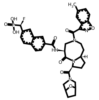 Cc1ccc2onc(C(=O)N3CC[C@H]4CC[C@@H](C(=O)N5CC6CCC(C5)O6)N4C(=O)[C@@H](NC(=O)c4ccc5ccc([C@H](F)P(=O)(O)O)cc5c4)C3)c2c1